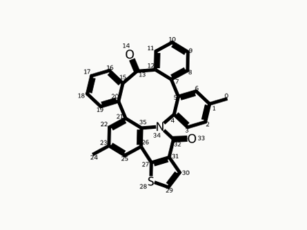 Cc1ccc2c(c1)c1ccccc1c(=O)c1ccccc1c1cc(C)cc3c4sccc4c(=O)n2c13